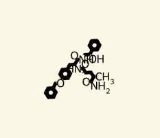 CC(C[CH]C(=O)NC(Cc1ccc(OCc2ccccc2)cc1)C(=O)NCC(O)c1ccccc1)C(N)=O